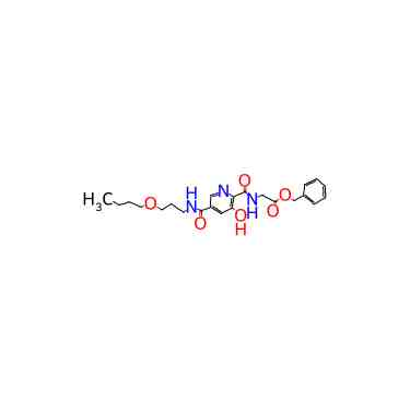 CCCCOCCCNC(=O)c1cnc(C(=O)NCC(=O)OCc2ccccc2)c(O)c1